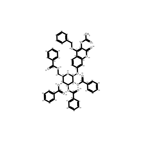 CC(=O)Oc1c(OCc2ccccc2)c2ccc(O[C@@H]3O[C@H](COC(=O)c4ccccc4)[C@@H](OC(=O)c4ccccc4)[C@H](OC(=O)c4ccccc4)[C@H]3OC(=O)c3ccccc3)cc2oc1=O